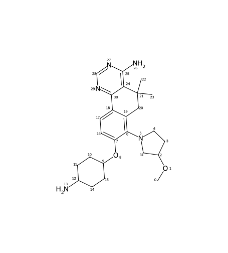 COC1CCN(c2c(OC3CCC(N)CC3)ccc3c2CC(C)(C)c2c(N)ncnc2-3)C1